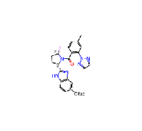 COc1ccc2[nH]c([C@@H]3CC[C@@H](I)N3C(=O)c3ccc(C)cc3-n3nccn3)nc2c1